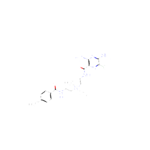 Cc1ccc(C(=O)NCC[N+](C)(C)CCNC(=O)c2nc(Cl)c(N)nc2N)cc1